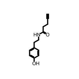 C#CCCC(=O)NCCc1ccc(O)cc1